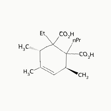 CCCC1(C(=O)O)[C@@H](C)C=C(C)[C@H](C)C1(CC)C(=O)O